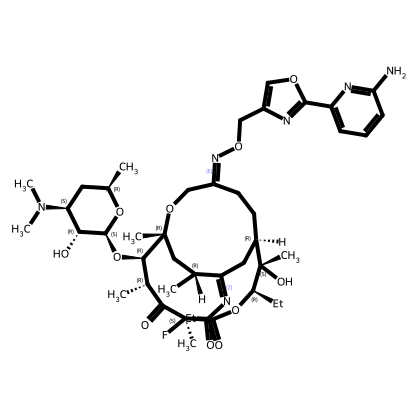 CCC(=O)/N=C1/C[C@H]2CC/C(=N\OCc3coc(-c4cccc(N)n4)n3)CO[C@](C)(C[C@H]1C)[C@H](O[C@@H]1O[C@H](C)C[C@H](N(C)C)[C@H]1O)[C@@H](C)C(=O)[C@](C)(F)C(=O)O[C@H](CC)[C@@]2(C)O